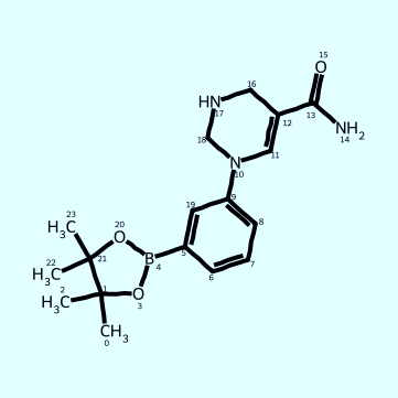 CC1(C)OB(c2cccc(N3C=C(C(N)=O)CNC3)c2)OC1(C)C